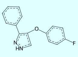 Fc1ccc(Oc2c[nH]nc2-c2ccccc2)cc1